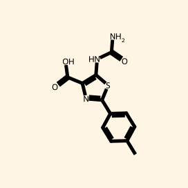 Cc1ccc(-c2nc(C(=O)O)c(NC(N)=O)s2)cc1